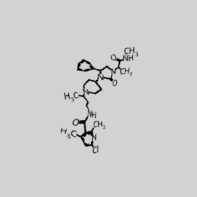 CNC(=O)C(C)N1CC(c2ccccc2)N(C2CCN(C(C)CCNC(=O)c3c(C)cc(Cl)nc3C)CC2)C1=O